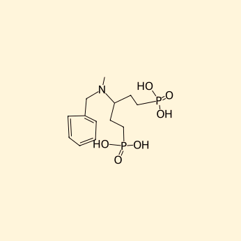 CN(Cc1ccccc1)C(CCP(=O)(O)O)CCP(=O)(O)O